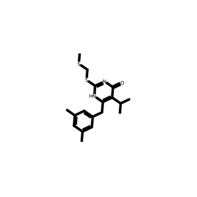 CSCSc1nc(=O)c(C(C)C)c(Cc2cc(C)cc(C)c2)[nH]1